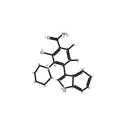 CCc1c(C(N)=O)c(C)c(C)c(-c2c[nH]c3ccccc23)c1N1CCCCC1